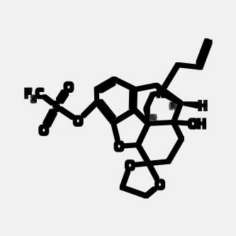 C=CCN1CC[C@]23c4c5ccc(OS(=O)(=O)C(F)(F)F)c4OC2C2(CCC3(O)[C@H]1C5)OCCO2